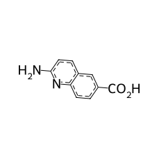 Nc1ccc2cc(C(=O)O)ccc2n1